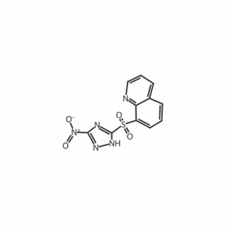 O=[N+]([O-])c1n[nH]c(S(=O)(=O)c2cccc3cccnc23)n1